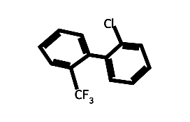 FC(F)(F)c1ccccc1-c1ccccc1Cl